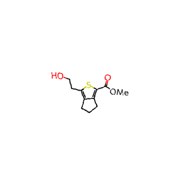 COC(=O)c1sc(CCO)c2c1CCC2